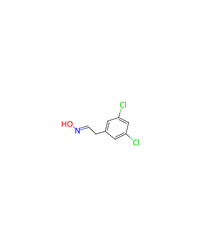 ON=CCc1cc(Cl)cc(Cl)c1